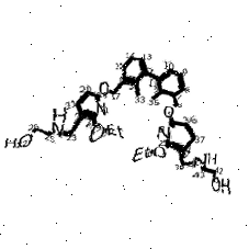 CCOc1nc(OCc2cccc(-c3cccc(COc4ccc(CNCCO)c(OCC)n4)c3C)c2C)ccc1CNCCO